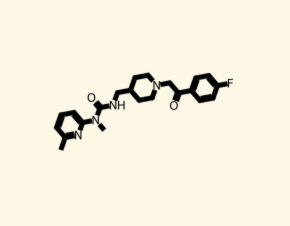 Cc1cccc(N(C)C(=O)NCC2CCN(CC(=O)c3ccc(F)cc3)CC2)n1